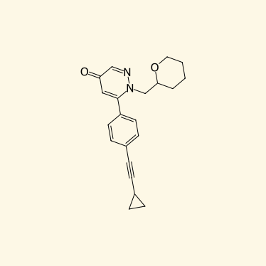 O=c1cnn(CC2CCCCO2)c(-c2ccc(C#CC3CC3)cc2)c1